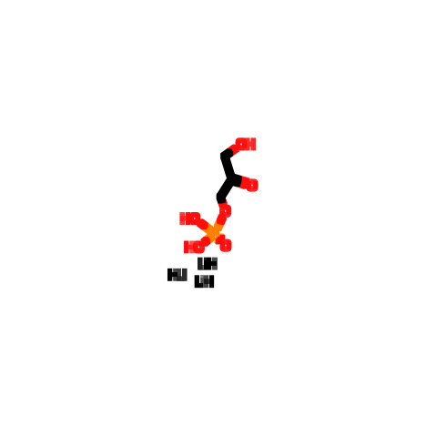 O=C(CO)COP(=O)(O)O.[LiH].[LiH].[LiH]